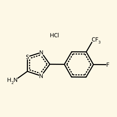 Cl.Nc1nc(-c2ccc(F)c(C(F)(F)F)c2)ns1